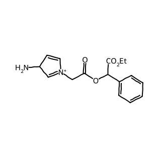 CCOC(=O)C(OC(=O)C[N+]1=CC(N)C=C1)c1ccccc1